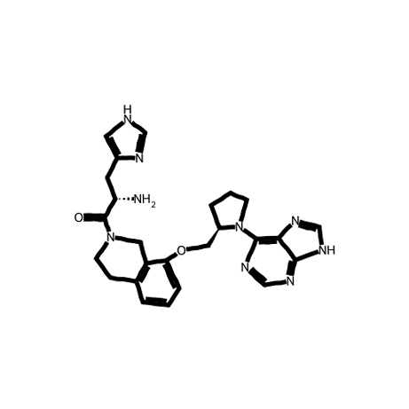 N[C@@H](Cc1c[nH]cn1)C(=O)N1CCc2cccc(OC[C@H]3CCCN3c3ncnc4[nH]cnc34)c2C1